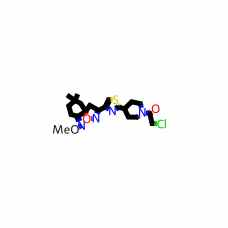 CO/N=C1\CCC(C)(C)CC12CC(c1csc(C3CCN(C(=O)CCl)CC3)n1)=NO2